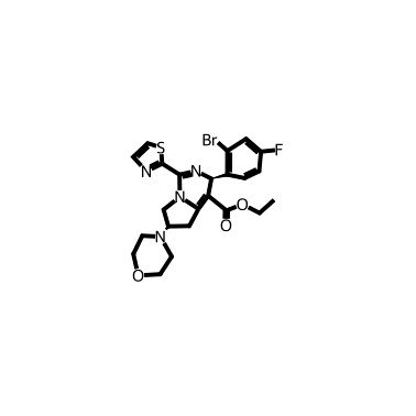 CCOC(=O)C1=C2C[C@H](N3CCOCC3)CN2C(c2nccs2)=N[C@H]1c1ccc(F)cc1Br